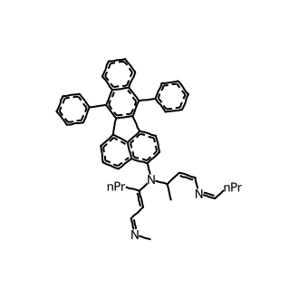 CCC/C=N\C=C/C(C)N(/C(=C/C=N\C)CCC)c1ccc2c3c(cccc13)-c1c-2c(-c2ccccc2)c2ccccc2c1-c1ccccc1